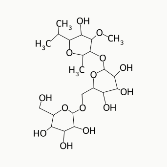 COC1C(O)C(C(C)C)OC(C)C1OC1OC(COC2OC(CO)C(O)C(O)C2O)C(O)C(O)C1O